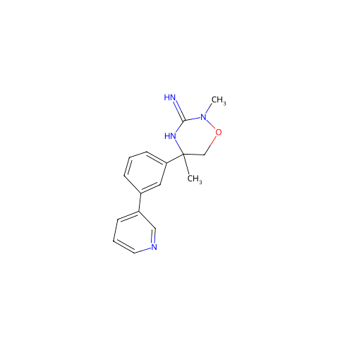 CN1OCC(C)(c2cccc(-c3cccnc3)c2)NC1=N